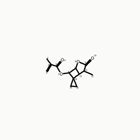 C=C(C)C(=O)OC1C2OC(=O)C(C)C2C12CC2